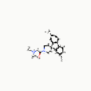 Cc1ccc2c(c1)C1(CCN(C(=O)CN(C)C)CC1)c1cc(C)ccc1-2